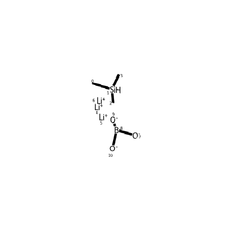 C[SiH](C)C.[Li+].[Li+].[Li+].[O-]B([O-])[O-]